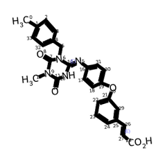 Cc1ccc(Cn2c(=O)n(C)c(=O)[nH]/c2=N\c2ccc(Oc3cccc(/C=C/C(=O)O)c3)cc2)cc1